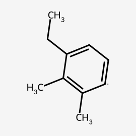 CCc1cc[c]c(C)c1C